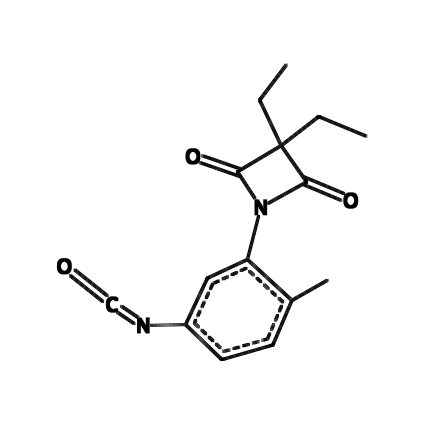 CCC1(CC)C(=O)N(c2cc(N=C=O)ccc2C)C1=O